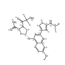 COc1ccc2c(O[C@@H]3C[C@@H](C(=O)O)N(C(=O)C(C)(C)O)C3)cc(-c3csc(NC(C)C)n3)nc2c1